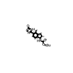 Cc1c(-c2noc(=O)[nH]2)ccc2c1CC[C@@H]2NC(=O)OC(C)(C)C